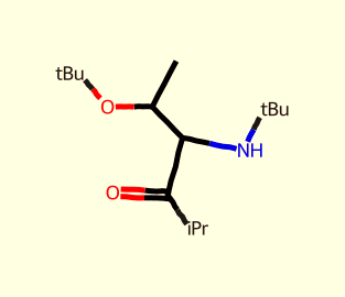 CC(C)C(=O)C(NC(C)(C)C)C(C)OC(C)(C)C